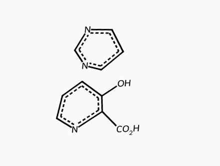 O=C(O)c1ncccc1O.c1cncnc1